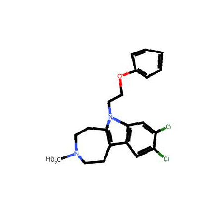 O=C(O)N1CCc2c(n(CCOc3ccccc3)c3cc(Cl)c(Cl)cc23)CC1